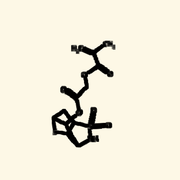 C=C(C)C(=O)OCC(=O)OC1C2CC3C(S2)C1NS3(=O)=O